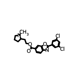 CN1CCCC1CCOC(=O)c1ccc2nc(-c3cc(Cl)cc(Cl)c3)oc2c1